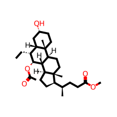 CC[C@H]1[C@@H](OC(C)=O)[C@@H]2[C@H](CC[C@]3(C)[C@@H]([C@H](C)CCC(=O)OC)CC[C@@H]23)[C@@]2(C)CC[C@@H](O)C[C@@H]12